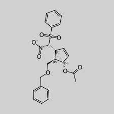 CC(=O)O[C@H]1C=C[C@@H](C([N+](=O)[O-])S(=O)(=O)c2ccccc2)[C@@H]1COCc1ccccc1